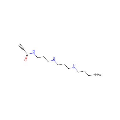 C#CC(=O)NCCCNCCCNCCCNC(C)=O